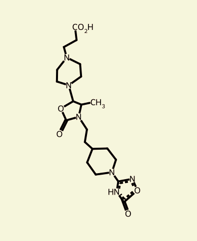 CC1C(N2CCN(CCC(=O)O)CC2)OC(=O)N1CCC1CCN(c2noc(=O)[nH]2)CC1